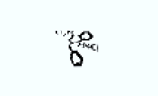 Cl.Cl.NCCN(Cc1ccccc1)Cc1ccccc1